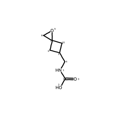 O=C(O)NCC1CC2(CO2)C1